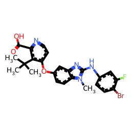 Cn1c(Nc2ccc(Br)c(F)c2)nc2cc(Oc3ccnc(C(=O)O)c3C(C)(C)C)ccc21